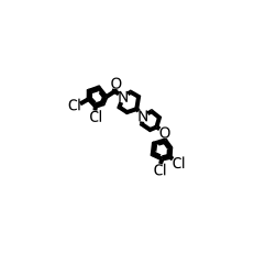 O=C(c1ccc(Cl)c(Cl)c1)N1CCC(N2CCC(Oc3ccc(Cl)c(Cl)c3)CC2)CC1